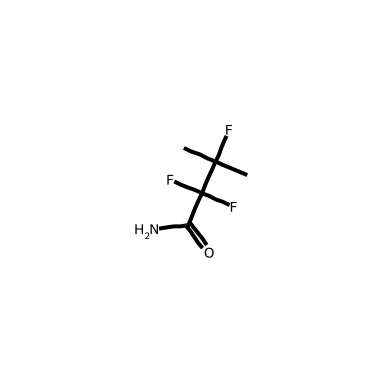 CC(C)(F)C(F)(F)C(N)=O